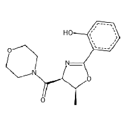 C[C@@H]1OC(c2ccccc2O)=N[C@@H]1C(=O)N1CCOCC1